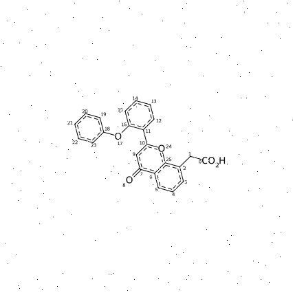 O=C(O)Cc1cccc2c(=O)cc(-c3ccccc3Oc3ccccc3)oc12